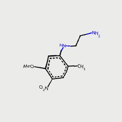 COc1cc(NCCN)c(C)cc1[N+](=O)[O-]